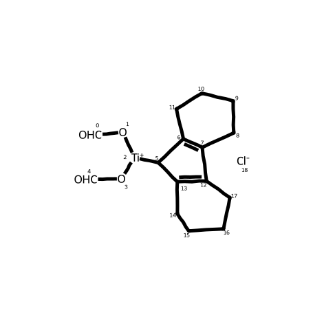 O=C[O][Ti+]([O]C=O)[CH]1C2=C(CCCC2)C2=C1CCCC2.[Cl-]